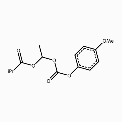 COc1ccc(OC(=O)OC(C)OC(=O)C(C)C)cc1